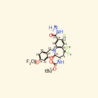 CC(C)(C)OC(=O)N[C@H]1CC(F)(F)c2cc(F)c(C(=O)NN)cc2N(Cc2ccc(OC(F)(F)F)cc2)C1=O